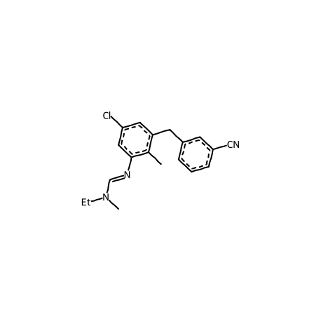 CCN(C)C=Nc1cc(Cl)cc(Cc2cccc(C#N)c2)c1C